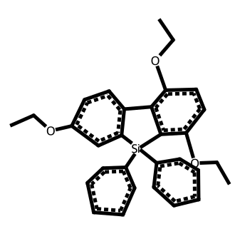 CCOc1ccc2c(c1)[Si](c1ccccc1)(c1ccccc1)c1c(OCC)ccc(OCC)c1-2